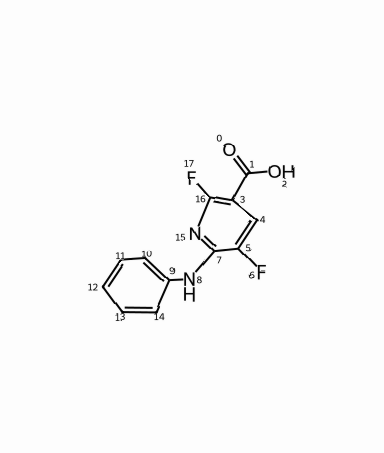 O=C(O)c1cc(F)c(Nc2ccccc2)nc1F